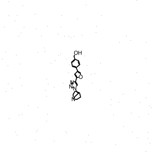 OCc1ccc(-c2coc(-c3cn(C4CN5CCC4CC5)nn3)c2)cc1